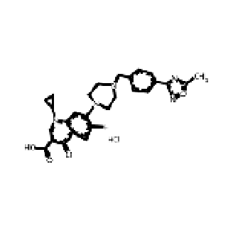 Cc1nc(-c2ccc(CN3CCN(c4cc5c(cc4F)c(=O)c(C(=O)O)cn5C4CC4)CC3)cc2)no1.Cl